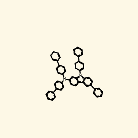 C1=CC(c2ccc(N(c3ccc(-c4ccccc4)cc3)c3ccc4c5cc(-c6ccccc6)ccc5n(C5=CC=C(c6ccccc6)CC5)c4c3)cc2)=CCC1